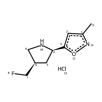 Cc1cc([C@H]2C[C@@H](CF)CN2)on1.Cl